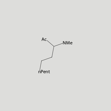 CCCCCCCC(NC)C(C)=O